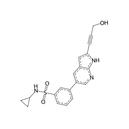 O=S(=O)(NC1CC1)c1cccc(-c2cnc3[nH]c(C#CCO)cc3c2)c1